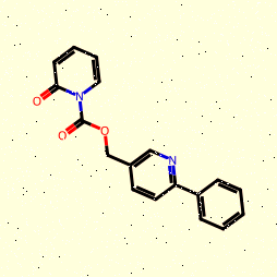 O=C(OCc1ccc(-c2ccccc2)nc1)n1ccccc1=O